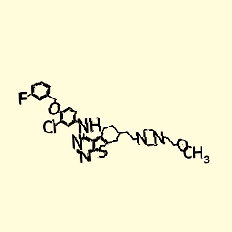 COCCN1CCN(CCC2CCc3c(sc4ncnc(Nc5ccc(OCc6cccc(F)c6)c(Cl)c5)c34)C2)CC1